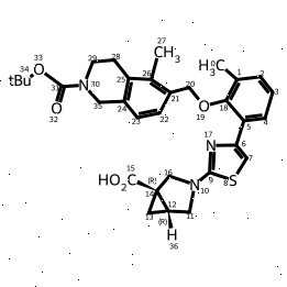 Cc1cccc(-c2csc(N3C[C@@H]4C[C@]4(C(=O)O)C3)n2)c1OCc1ccc2c(c1C)CCN(C(=O)OC(C)(C)C)C2